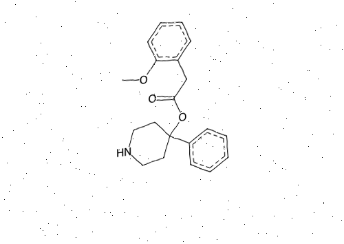 COc1ccccc1CC(=O)OC1(c2ccccc2)CCNCC1